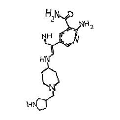 N=C/C(=C\NC1CCN(CC2CCNC2)CC1)c1cnc(N)c(C(N)=O)c1